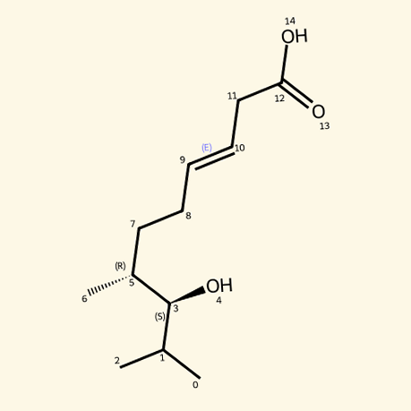 CC(C)[C@H](O)[C@H](C)CC/C=C/CC(=O)O